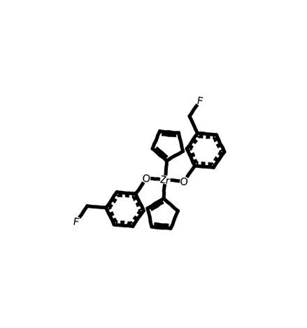 FCc1cccc([O][Zr]([O]c2cccc(CF)c2)([C]2=CC=CC2)[C]2=CC=CC2)c1